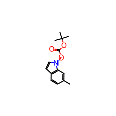 Cc1ccc2ccn(OC(=O)OC(C)(C)C)c2c1